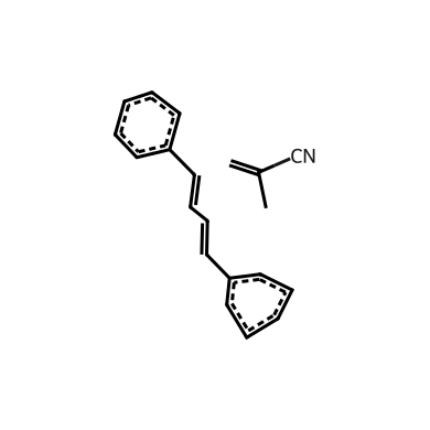 C(C=Cc1ccccc1)=Cc1ccccc1.C=C(C)C#N